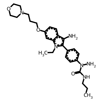 CCCNC(=O)N(N)c1ccc(-c2c(N)c3ccc(OCCCN4CCOCC4)cc3n2CC)cc1